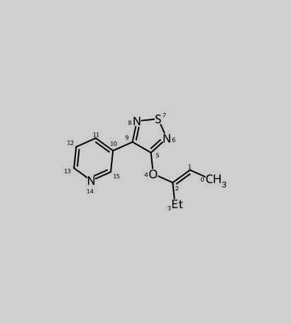 CC=C(CC)Oc1nsnc1-c1cccnc1